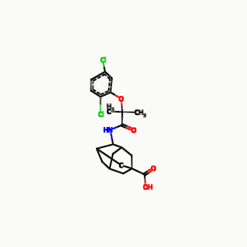 CC(C)(Oc1cc(Cl)ccc1Cl)C(=O)NC1C2CC3CC1CC(C(=O)O)(C3)C2